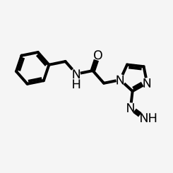 N=Nc1nccn1CC(=O)NCc1ccccc1